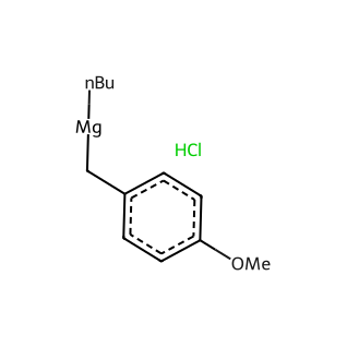 CCC[CH2][Mg][CH2]c1ccc(OC)cc1.Cl